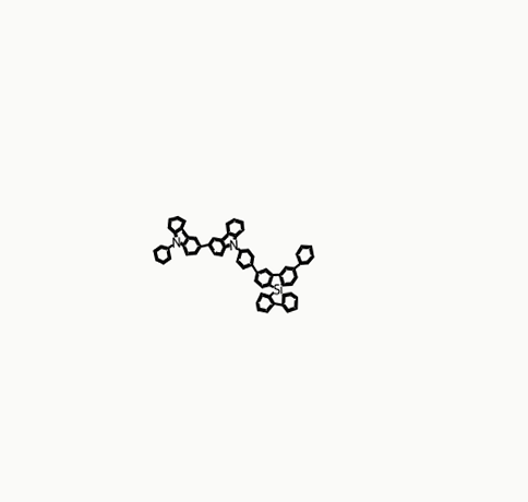 c1ccc(-c2ccc3c(c2)-c2cc(-c4ccc(-n5c6ccccc6c6cc(-c7ccc8c(c7)c7ccccc7n8-c7ccccc7)ccc65)cc4)ccc2[Si]32c3ccccc3-c3ccccc32)cc1